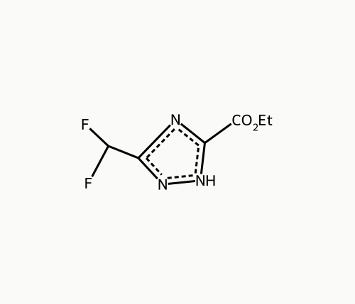 CCOC(=O)c1nc(C(F)F)n[nH]1